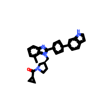 Cc1cccc2nc(-c3ccc(-c4ccc5cc[nH]c5c4)cc3)n(C[C@H]3CCN(C(=O)C4CC4)C3)c12